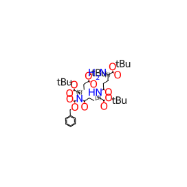 CC(C)(C)OC(=O)CC[C@@H](C(=O)OC(C)(C)C)N(C(=O)CC[C@H](NC(=O)CC[C@H](N)C(=O)OC(C)(C)C)C(=O)OC(C)(C)C)C(=O)OCc1ccccc1